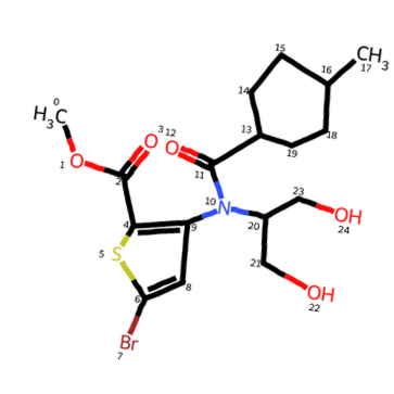 COC(=O)c1sc(Br)cc1N(C(=O)C1CCC(C)CC1)C(CO)CO